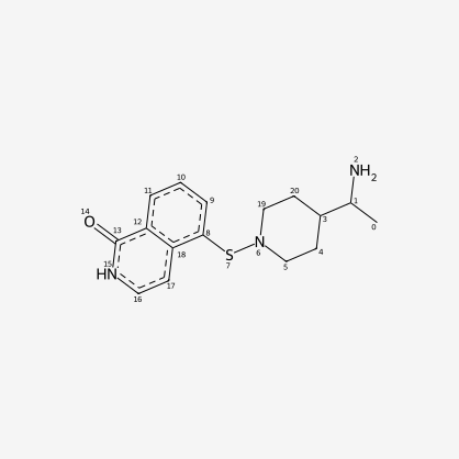 CC(N)C1CCN(Sc2cccc3c(=O)[nH]ccc23)CC1